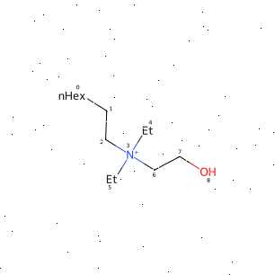 CCCCCCCC[N+](CC)(CC)CCO